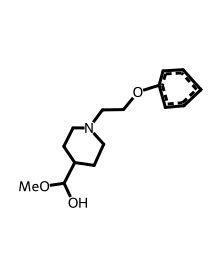 COC(O)C1CCN(CCOc2ccccc2)CC1